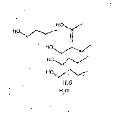 CC(=O)O.CCCCO.CCCCO.CCCCO.CCCCO.O.O